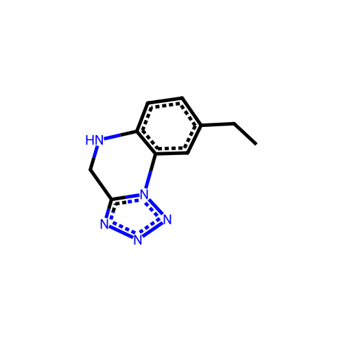 CCc1ccc2c(c1)-n1nnnc1CN2